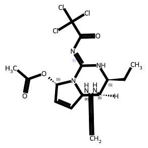 C=C1N[C@H]2[C@H](CC)N/C(=N\C(=O)C(Cl)(Cl)Cl)N3[C@@H](OC(C)=O)C=C[C@]23N1